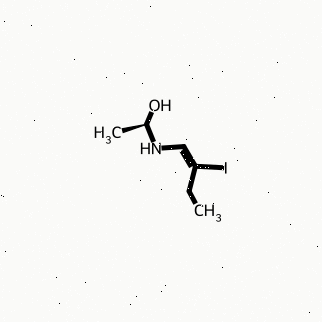 CC/C(I)=C\N[C@@H](C)O